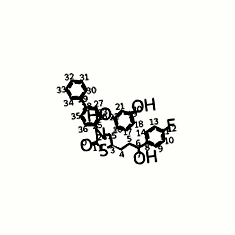 O=C1S[C@H](CCC(O)c2ccc(F)cc2)[C@@H](c2ccc(O)cc2O)N1c1ccc(-c2ccccc2)cc1